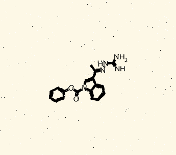 CC(=NNC(=N)N)c1cn(C(=O)Oc2ccccc2)c2ccccc12